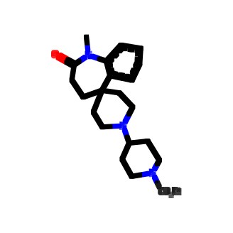 CCOC(=O)N1CCC(N2CCC3(CCC(=O)N(C)c4ccccc43)CC2)CC1